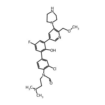 COCc1ncc(-c2cc(F)cc(-c3ccc(N(C=O)CCN(C)C)c(Cl)c3)c2O)cc1N1CCNCC1